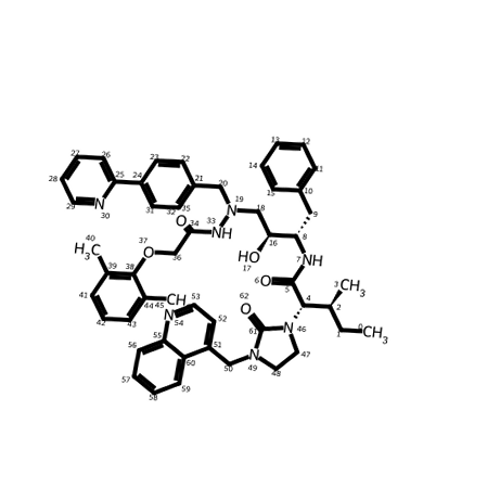 CC[C@H](C)[C@@H](C(=O)N[C@@H](Cc1ccccc1)[C@@H](O)CN(Cc1ccc(-c2ccccn2)cc1)NC(=O)COc1c(C)cccc1C)N1CCN(Cc2ccnc3ccccc23)C1=O